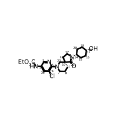 CCOC(=O)Nc1cnc(N2CCC[C@@]3(CCN([C@H]4CC[C@@H](O)CC4)C3=O)C2)c(Cl)c1